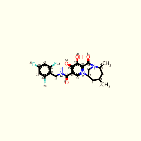 CC1CC(C)N2CC(C1)n1cc(C(=O)NCc3c(F)cc(F)cc3F)c(=O)c(O)c1C2=O